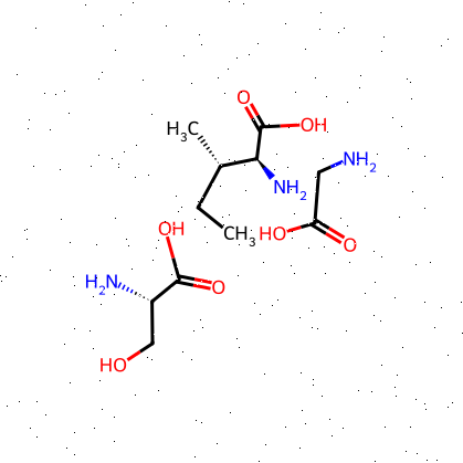 CC[C@H](C)[C@H](N)C(=O)O.NCC(=O)O.N[C@@H](CO)C(=O)O